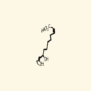 O=C(O)/C=C\CCCCCC(O)CO